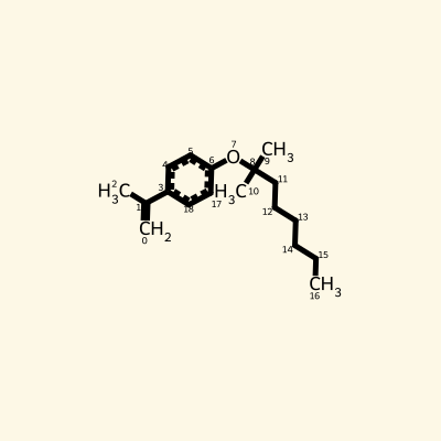 C=C(C)c1ccc(OC(C)(C)CCCCCC)cc1